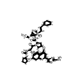 C=C[C@@H]1C[C@]1(NC(=O)[C@@H]1C[C@@H](Oc2cc(-c3csc(NC(C)C)n3)nc3cc(OC)ccc23)CN1C(=O)[C@@H](NC(=O)OC1CCCC1)C(C)(C)C)P(=O)(O)CCc1ccccc1